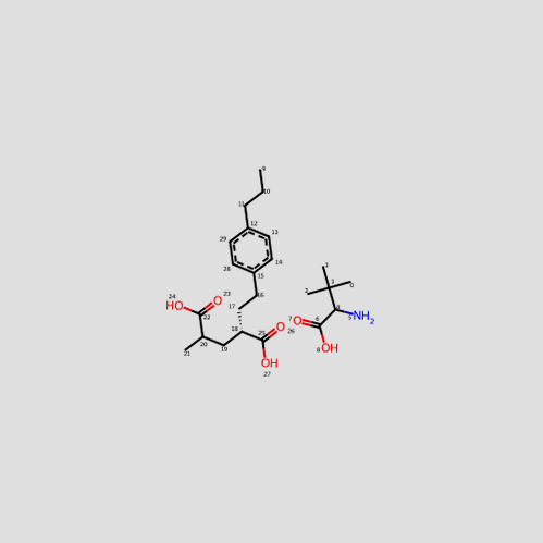 CC(C)(C)C(N)C(=O)O.CCCc1ccc(CC[C@@H](CC(C)C(=O)O)C(=O)O)cc1